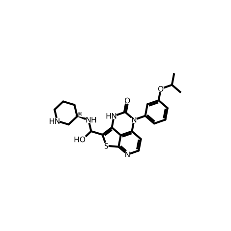 CC(C)Oc1cccc(N2C(=O)Nc3c(C(O)N[C@@H]4CCCNC4)sc4nccc2c34)c1